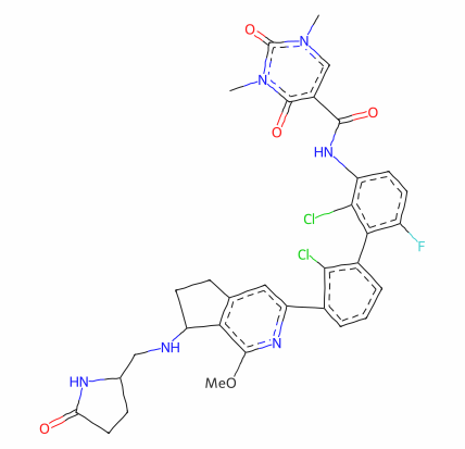 COc1nc(-c2cccc(-c3c(F)ccc(NC(=O)c4cn(C)c(=O)n(C)c4=O)c3Cl)c2Cl)cc2c1C(NCC1CCC(=O)N1)CC2